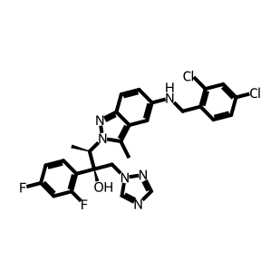 Cc1c2cc(NCc3ccc(Cl)cc3Cl)ccc2nn1[C@H](C)[C@](O)(Cn1cncn1)c1ccc(F)cc1F